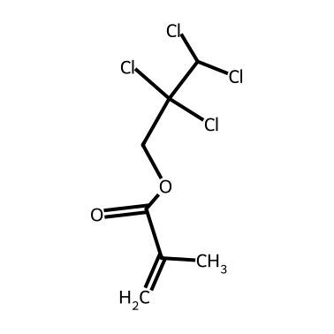 C=C(C)C(=O)OCC(Cl)(Cl)C(Cl)Cl